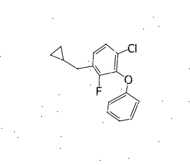 Fc1c(CC2CC2)ccc(Cl)c1Oc1ccccc1